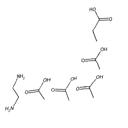 CC(=O)O.CC(=O)O.CC(=O)O.CC(=O)O.CCC(=O)O.NCCN